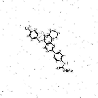 CNC(=O)Nc1ccc(-c2ncc3c(n2)N2CCOCC2C(=O)N3Cc2ccc(Cl)cc2)cc1